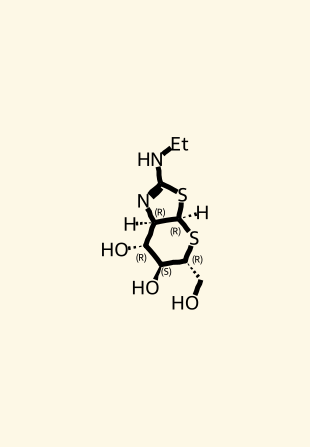 CCNC1=N[C@H]2[C@@H](S1)S[C@H](CO)[C@@H](O)[C@@H]2O